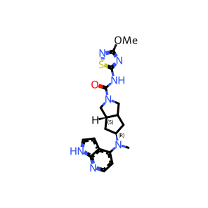 COc1nsc(NC(=O)N2CC3C[C@@H](N(C)c4ccnc5[nH]ccc45)C[C@@H]3C2)n1